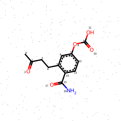 CC(=O)CCc1cc(OC(=O)O)ccc1C(N)=O